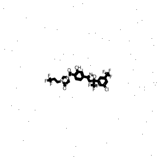 Cc1cc(C2=NOC(c3cc(Cl)cc(C(F)(F)F)c3)(C(F)(F)F)C2)ccc1C(=O)N1CC(=O)N(CCC(F)(F)F)C1